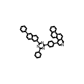 c1ccc(-c2ccc3cc(-c4nc(-c5ccccc5)nc(-c5ccc(-c6cncc7ccc8c9ccccc9ccc8c67)cc5)n4)ccc3c2)cc1